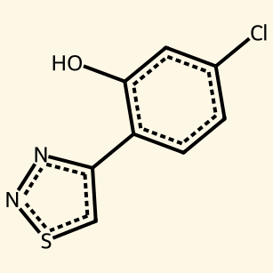 Oc1cc(Cl)ccc1-c1csnn1